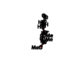 COc1ccc(C2=CC=C3C(C2)Cn2cc(OCCCOc4cn5c(c4OC)C=[N+]([O-])C4=CC=C(c6ccc(NC(=O)CNC(=O)CNC(=O)CCCCCN7C(=O)C=CC7=O)cc6)CC4C5)c(OC)c2C=[N+]3[O-])cc1